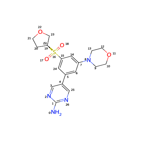 Nc1ncc(-c2cc(N3CCOCC3)cc(S(=O)(=O)[C@H]3CCOC3)c2)cn1